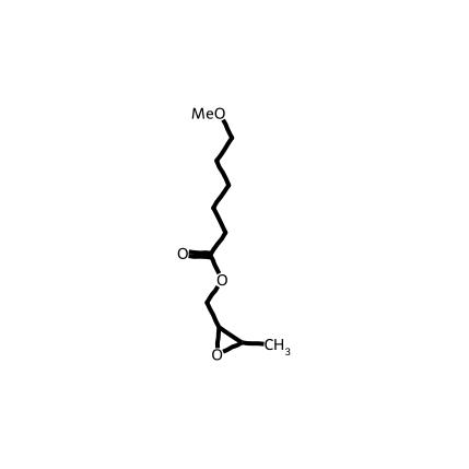 COCCCCCC(=O)OCC1OC1C